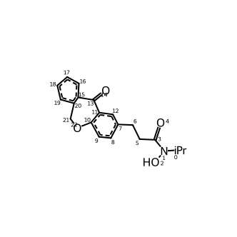 CC(C)N(O)C(=O)CCc1ccc2c(c1)C(=O)c1ccccc1CO2